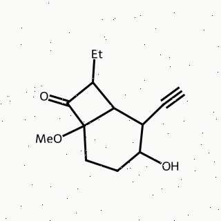 C#CC1C(O)CCC2(OC)C(=O)C(CC)C12